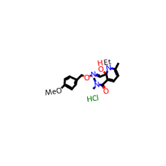 CCN1C(C)=CC=C(C(=O)N(C)C)C1(O)C=NOCc1ccc(OC)cc1.Cl